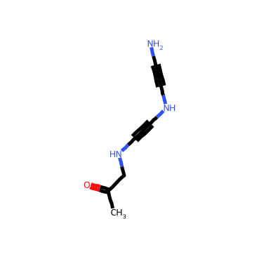 CC(=O)CNC#CNC#CN